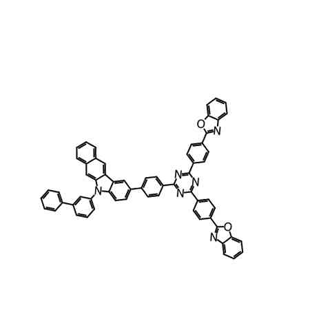 c1ccc(-c2cccc(-n3c4ccc(-c5ccc(-c6nc(-c7ccc(-c8nc9ccccc9o8)cc7)nc(-c7ccc(-c8nc9ccccc9o8)cc7)n6)cc5)cc4c4cc5ccccc5cc43)c2)cc1